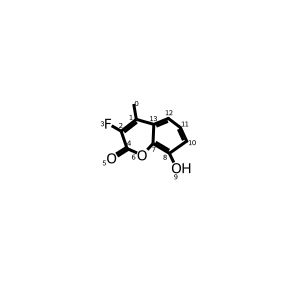 Cc1c(F)c(=O)oc2c(O)cccc12